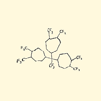 FC(F)(F)C1CCC(C(C2CCC(C(F)(F)F)C(C(F)(F)F)CC2)(C2CCC(C(F)(F)F)C(C(F)(F)F)CC2)C(F)(F)F)CCC1C(F)(F)F